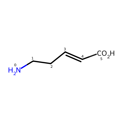 NCCC=CC(=O)O